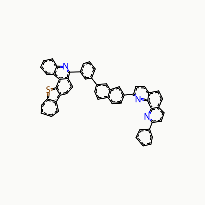 c1ccc(-c2ccc3ccc4ccc(-c5ccc6ccc(-c7cccc(-c8nc9ccccc9c9c8ccc8c%10ccccc%10sc89)c7)cc6c5)nc4c3n2)cc1